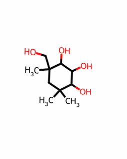 CC1(C)CC(C)(CO)C(O)C(O)C1O